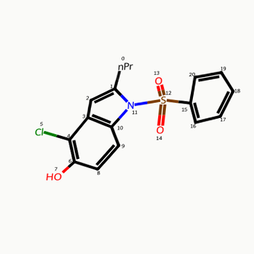 CCCc1cc2c(Cl)c(O)ccc2n1S(=O)(=O)c1ccccc1